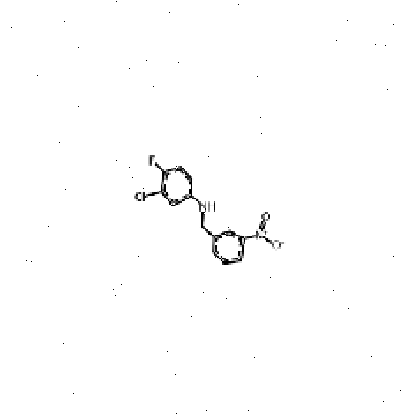 O=[N+]([O-])c1cccc(CNc2ccc(F)c(Cl)c2)c1